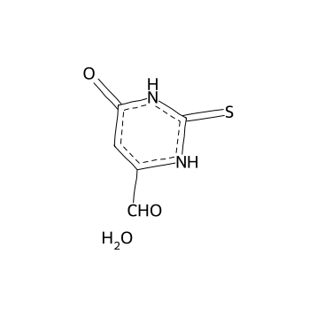 O.O=Cc1cc(=O)[nH]c(=S)[nH]1